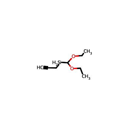 C#CC[SiH2]C(OCC)OCC